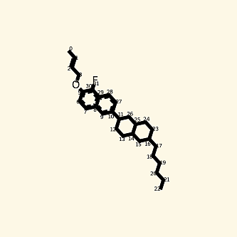 C/C=C/COc1ccc2cc(C3CCC4CC(CCCCCC)CCC4C3)ccc2c1F